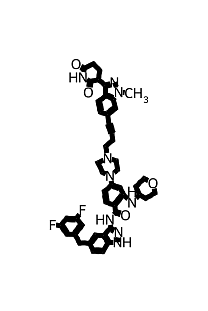 Cn1nc(C2CCC(=O)NC2=O)c2ccc(C#CCCN3CCN(c4ccc(C(=O)Nc5n[nH]c6ccc(Cc7cc(F)cc(F)c7)cc56)c(NC5CCOCC5)c4)CC3)cc21